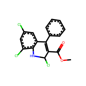 COC(=O)C1=C(c2ccccc2)c2cc(Cl)cc(Cl)c2NC1Cl